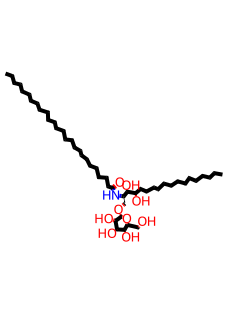 CCCCCCCCCCCCCCCCCCCCCCCCCC(=O)N[C@@H](CO[C@H]1OC(CO)[C@H](O)[C@H](O)C1O)[C@H](O)[C@H](O)CCCCCCCCCCCCCC